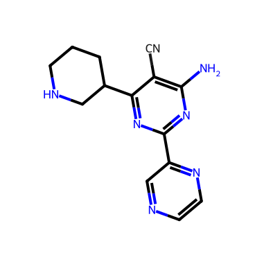 N#Cc1c(N)nc(-c2cnccn2)nc1C1CCCNC1